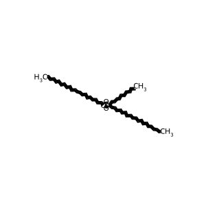 CCCCCCCCCCCCCCCCCCCCCCOS(=O)(=O)C(CCCCCCCCCCC)CCCCCCCCCCCCCCCCCCCC